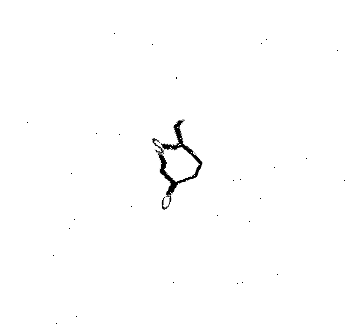 CC1CCC(=O)CS1